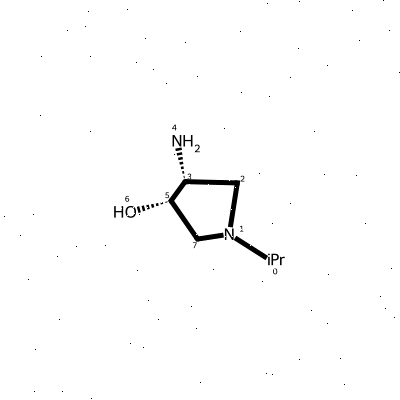 CC(C)N1C[C@@H](N)[C@@H](O)C1